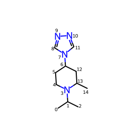 CC(C)N1CCC(n2cnnc2)CC1C